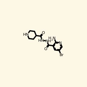 Nc1ncc(Br)cc1C(=O)NNC(=O)C1CCNCC1